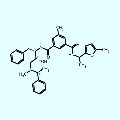 Cc1cc(C(=O)NC(C)c2ccc(C)o2)cc(C(=O)N[C@@H](Cc2ccccc2)[C@H](O)CN(C)[C@@H](C)c2ccccc2)c1